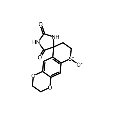 O=C1NC(=O)C2(CC[S+]([O-])c3cc4c(cc32)OCCO4)N1